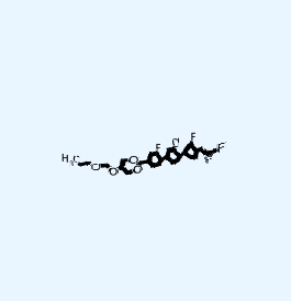 CCCOCOC1COC(c2ccc(-c3ccc(-c4ccc(C=C(F)F)c(F)c4)c(Cl)c3)c(F)c2)OC1